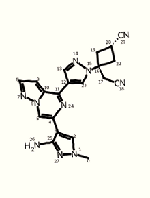 Cn1cc(-c2cn3nccc3c(-c3cnn([C@]4(CC#N)C[C@H](C#N)C4)c3)n2)c(N)n1